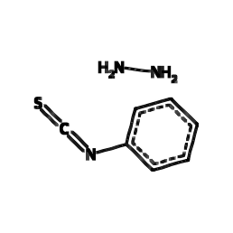 NN.S=C=Nc1ccccc1